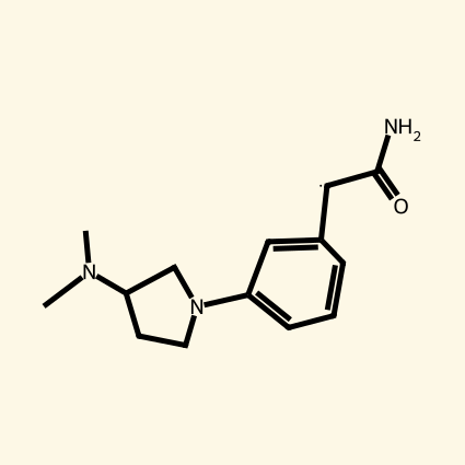 CN(C)C1CCN(c2cccc([CH]C(N)=O)c2)C1